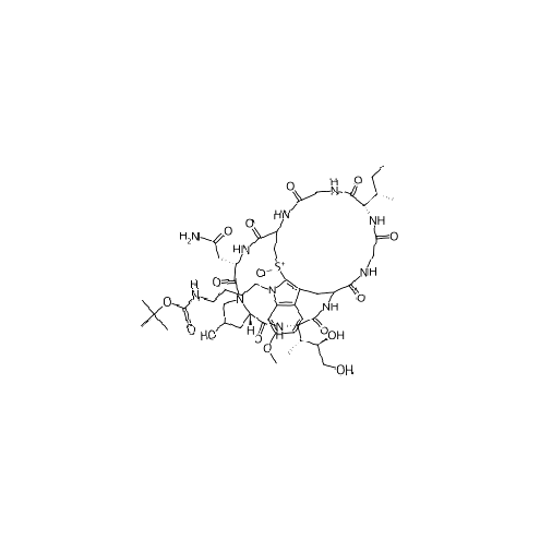 CC[C@H](C)[C@@H]1NC(=O)CNC(=O)C2Cc3c(n(CCCCNC(=O)OC(C)(C)C)c4cc(OC)ccc34)[S@+]([O-])CC(NC(=O)CNC1=O)C(=O)N[C@@H](CC(N)=O)C(=O)N1CC(O)C[C@H]1C(=O)N[C@@H]([C@@H](C)[C@@H](O)CO)C(=O)N2